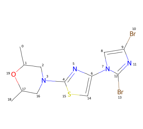 CC1CN(c2nc(-n3cc(Br)nc3Br)cs2)CC(C)O1